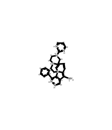 NC1=C2C=CC=C[N+]2(CCN2CCN(c3ncccn3)CC2)c2c1cnnc2-c1ccccc1